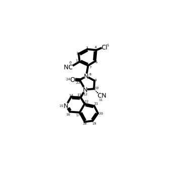 N#Cc1ccc(Cl)cc1N1C[C@H](C#N)N(c2cncc3ccccc23)C1=O